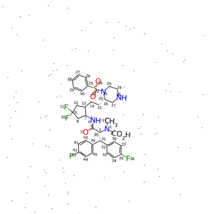 CN(C(=O)O)[C@@H](C(=O)NC1CC(F)(F)CC1CC[C@H]1CNCCN1S(=O)(=O)c1ccccc1)C(c1ccc(F)cc1)c1ccc(F)cc1